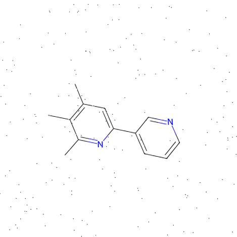 Cc1cc(-c2cccnc2)nc(C)c1C